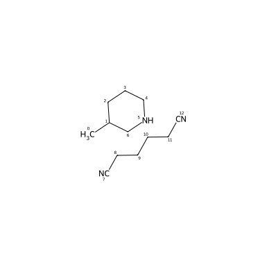 CC1CCCNC1.N#CCCCCC#N